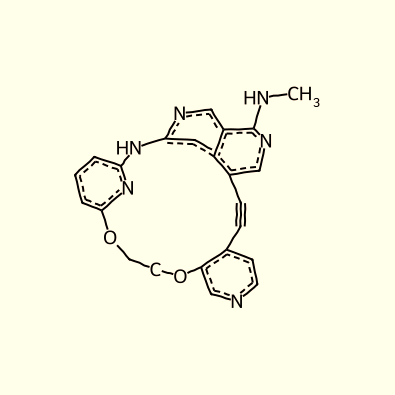 CNc1ncc2c3cc(ncc13)Nc1cccc(n1)OCCOc1cnccc1C#C2